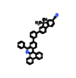 CC1(C)c2cc(C#N)ccc2-c2ccc(-c3cccc(-c4ccc5c(c4)c(-c4ccccc4)nc4c6ccccc6c6ccccc6c54)c3)cc21